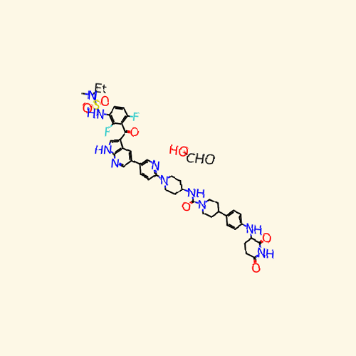 CCN(C)S(=O)(=O)Nc1ccc(F)c(C(=O)c2c[nH]c3ncc(-c4ccc(N5CCC(NC(=O)N6CCC(c7ccc(NC8CCC(=O)NC8=O)cc7)CC6)CC5)nc4)cc23)c1F.O=CO